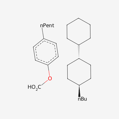 CCCCCc1ccc(OC(=O)O)cc1.CCCC[C@H]1CC[C@H](C2CCCCC2)CC1